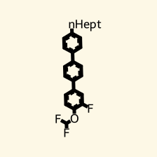 CCCCCCCc1ccc(-c2ccc(-c3ccc(OC(F)F)c(F)c3)cc2)cc1